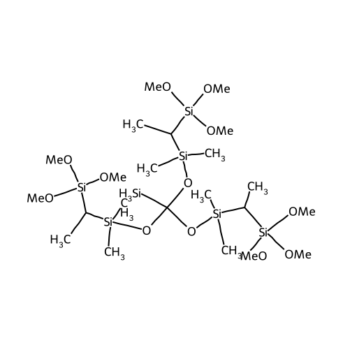 CO[Si](OC)(OC)C(C)[Si](C)(C)OC([SiH3])(O[Si](C)(C)C(C)[Si](OC)(OC)OC)O[Si](C)(C)C(C)[Si](OC)(OC)OC